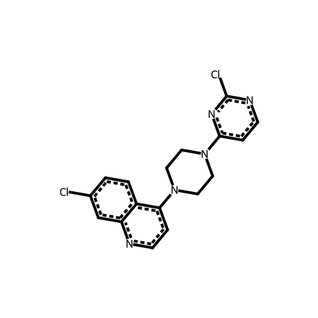 Clc1ccc2c(N3CCN(c4ccnc(Cl)n4)CC3)ccnc2c1